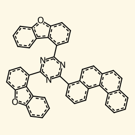 c1ccc2c(c1)ccc1ccc3c(-c4nc(-c5cccc6oc7ccccc7c56)nc(-c5cccc6oc7ccccc7c56)n4)cccc3c12